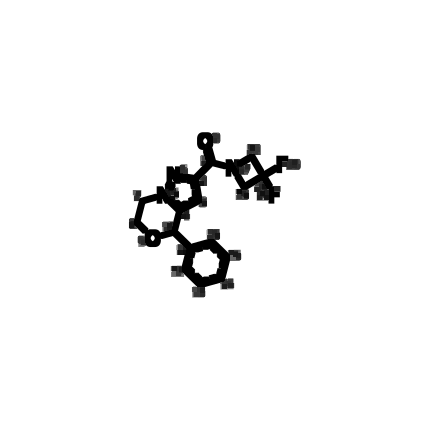 O=C(c1cc2n(n1)CCOC2c1ccccc1)N1CC(F)(F)C1